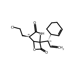 C=C[C@@H](C1C=CCCC1)C12NC(=O)[C@H](CCCl)C1OC2=O